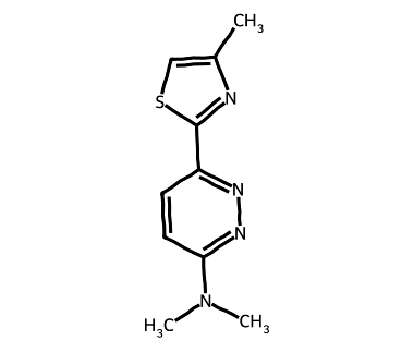 Cc1csc(-c2ccc(N(C)C)nn2)n1